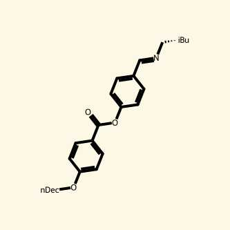 CCCCCCCCCCOc1ccc(C(=O)Oc2ccc(C=NC[C@@H](C)CC)cc2)cc1